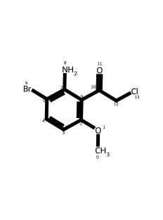 COc1ccc(Br)c(N)c1C(=O)CCl